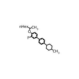 CCCCCCC(C)Oc1ccc(-c2ccc(C3CCC(C)CC3)cc2)cc1F